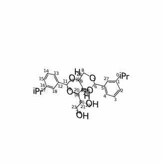 CC(C)c1cccc(C2OC[C@@H]3OC(c4cccc(C(C)C)c4)O[C@H]([C@H](O)CO)[C@@H]3O2)c1